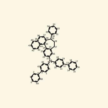 c1ccc(-c2ccc(N(c3ccc(-c4ccccc4)cc3)c3ccc4c(c3)CCC(c3ccccc3)c3ccc5ccccc5c3-4)cc2)cc1